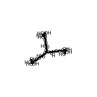 CC(COCCC(=O)CNCCOCCOCCO[C@H]1OC(CO)[C@@H](O)C(O)C1O)(COCCC(=O)NCCOCCOCCO[C@H]1OC(CO)[C@@H](O)C(O)C1O)COCCC(=O)NCCOCCOCCO[C@H]1OC(CO)[C@@H](O)C(O)C1O